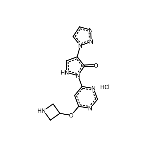 Cl.O=c1c(-n2ccnn2)c[nH]n1-c1cc(OC2CNC2)ncn1